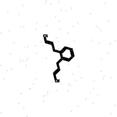 N#CC=CCc1ccccc1CC=CC#N